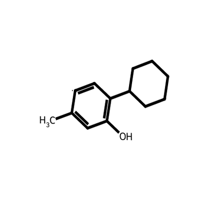 Cc1[c]cc(C2CCCCC2)c(O)c1